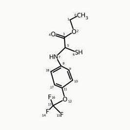 CCOC(=O)C(S)Nc1ccc(OC(F)(F)F)cc1